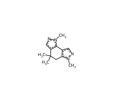 Cn1ncc2c1CC(C)(C)c1cnn(C)c1-2